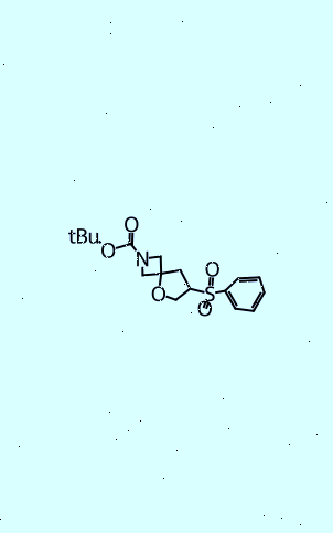 CC(C)(C)OC(=O)N1CC2(CC(S(=O)(=O)c3ccccc3)CO2)C1